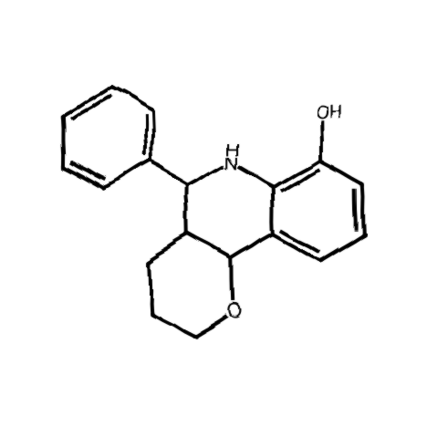 Oc1cccc2c1NC(c1ccccc1)C1CCCOC21